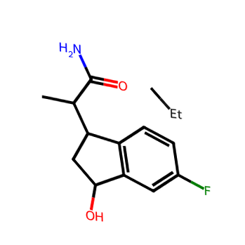 CC(C(N)=O)C1CC(O)c2cc(F)ccc21.CCC